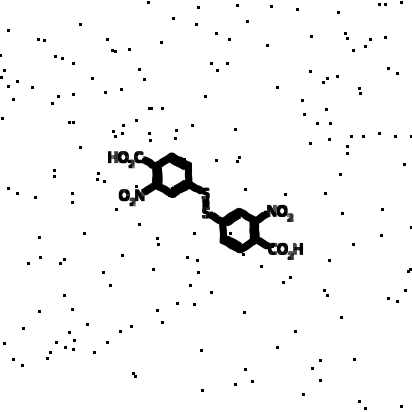 O=C(O)c1ccc(SSc2ccc(C(=O)O)c([N+](=O)[O-])c2)cc1[N+](=O)[O-]